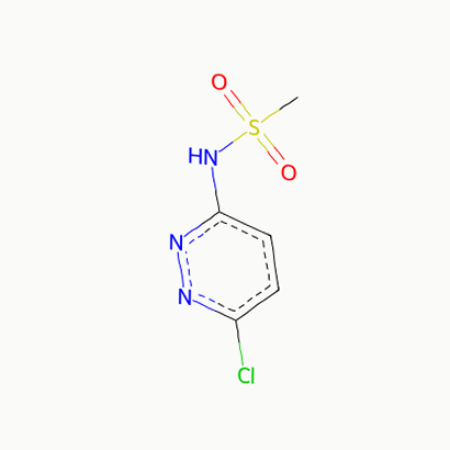 CS(=O)(=O)Nc1ccc(Cl)nn1